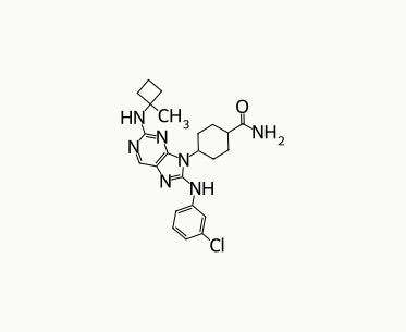 CC1(Nc2ncc3nc(Nc4cccc(Cl)c4)n(C4CCC(C(N)=O)CC4)c3n2)CCC1